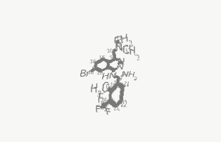 Cc1c([C@@H](N)Nc2nnc(CN(C)C)c3ccc(Br)cc23)cccc1C(F)(F)F